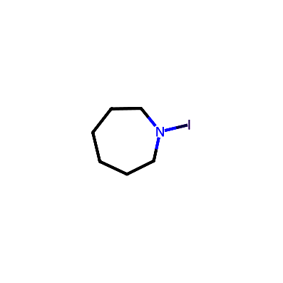 IN1CCCCCC1